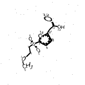 COCCS(=O)(=O)c1ccc(C(=O)O)o1